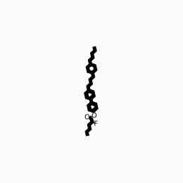 CCCCCC1CCC(CCCCc2ccc(-c3ccc(OC(=O)[C@H](F)CCCC)cc3)cc2)CC1